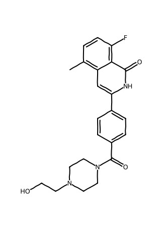 Cc1ccc(F)c2c(=O)[nH]c(-c3ccc(C(=O)N4CCN(CCO)CC4)cc3)cc12